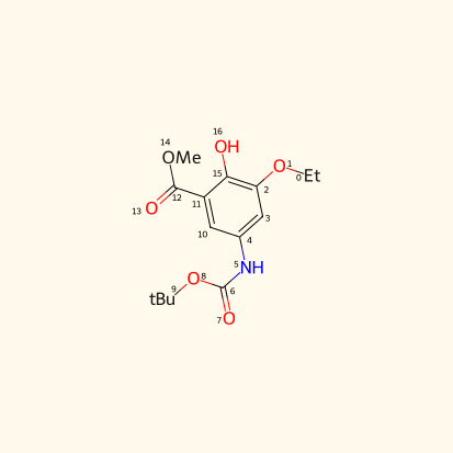 CCOc1cc(NC(=O)OC(C)(C)C)cc(C(=O)OC)c1O